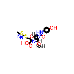 Cc1nnc(SCC2=C(C(=O)O)N3C(=O)[C@@H]4[C@H]3[C@@H](CN4C(=O)Nc3ccc(O)cc3)O2)s1.[NaH]